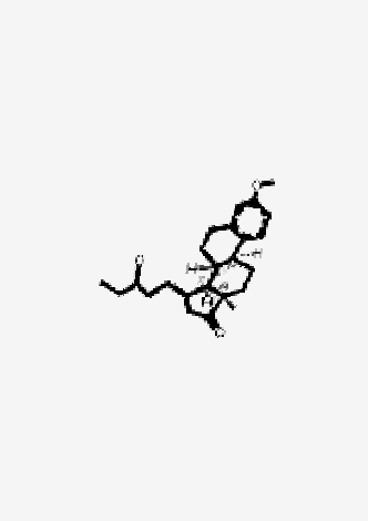 CCC(=O)CCC1CC(=O)[C@@]2(C)CC[C@@H]3c4ccc(OC)cc4CC[C@H]3[C@H]12